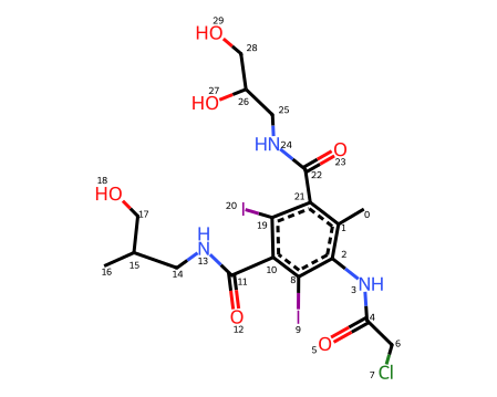 Cc1c(NC(=O)CCl)c(I)c(C(=O)NCC(C)CO)c(I)c1C(=O)NCC(O)CO